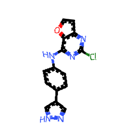 Clc1nc(Nc2ccc(-c3cn[nH]c3)cc2)c2occc2n1